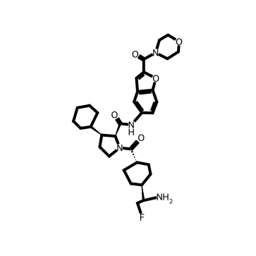 NC(CF)[C@H]1CC[C@H](C(=O)N2CC[C@@H](C3CCCCC3)[C@H]2C(=O)Nc2ccc3oc(C(=O)N4CCOCC4)cc3c2)CC1